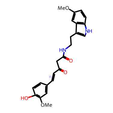 COc1ccc2[nH]cc(CCNC(=O)CC(=O)/C=C/c3ccc(O)c(OC)c3)c2c1